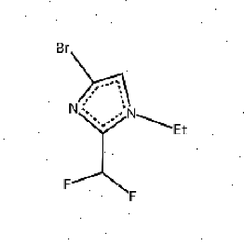 CCn1cc(Br)nc1C(F)F